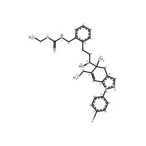 CCOC(=O)NCc1ccccc1CC[C@H](O)C1(C)Cc2cnn(-c3ccc(F)cc3)c2C=C1CC